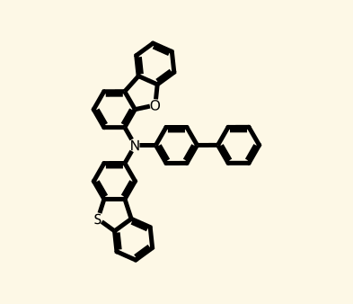 c1ccc(-c2ccc(N(c3ccc4sc5ccccc5c4c3)c3cccc4c3oc3ccccc34)cc2)cc1